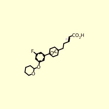 O=C(O)/C=C/CCC12CCC(c3cc(F)cc(OC4CCCCO4)c3)(CC1)OC2